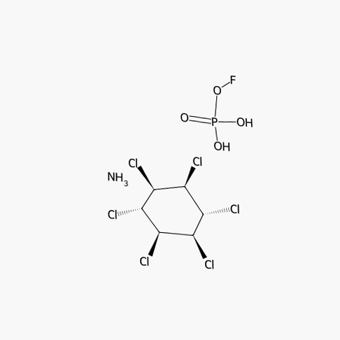 Cl[C@H]1[C@H](Cl)[C@@H](Cl)[C@@H](Cl)[C@H](Cl)[C@H]1Cl.N.O=P(O)(O)OF